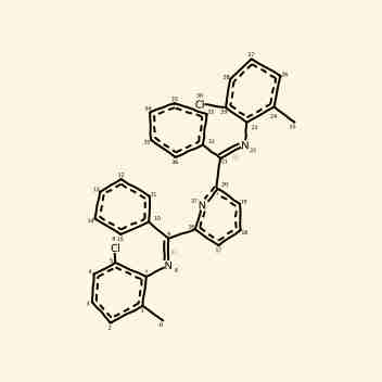 Cc1cccc(Cl)c1/N=C(\c1ccccc1)c1cccc(/C(=N/c2c(C)cccc2Cl)c2ccccc2)n1